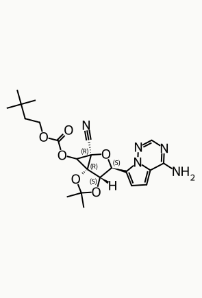 CC(C)(C)CCOC(=O)OC1[C@@]2(C#N)O[C@@H](c3ccc4c(N)ncnn34)[C@@H]3OC(C)(C)O[C@@]132